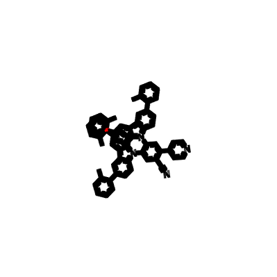 Cc1ccccc1-c1ccc2c(c1)c1cc(-c3ccccc3C)ccc1n2-c1cc(C#N)c(-c2ccncc2)cc1-n1c2ccc(-c3ccccc3C)cc2c2cc(-c3ccccc3C)ccc21